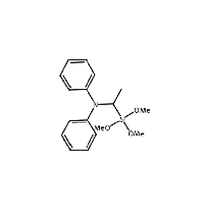 CO[Si](OC)(OC)C(C)N(c1ccccc1)c1ccccc1